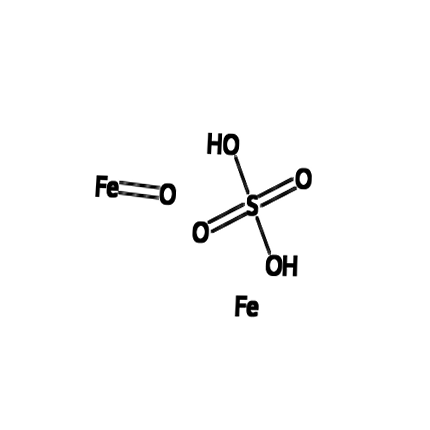 O=S(=O)(O)O.[Fe].[O]=[Fe]